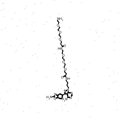 NCCOCCOCCOCCC(=O)NCCOCCOCCOCCC(=O)NCCCCn1nc(-c2ccc3oc(N)nc3c2)c2c(N)ncnc21